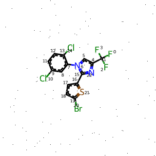 FC(F)(F)c1cn(-c2cc(Cl)ccc2Cl)c(-c2ccc(Br)s2)n1